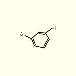 CCc1[c]ccc(C#N)c1